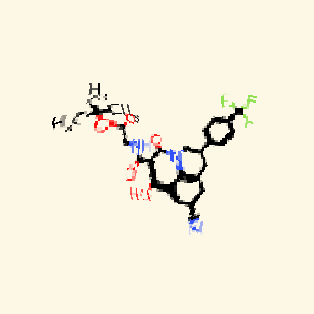 CC(C)(C)OC(=O)CNC(=O)c1c(O)c2cc(C#N)cc3c2n(c1=O)CC(c1ccc(C(F)(F)F)cc1)C3